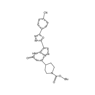 CC(C)(C)OC(=O)N1CCC(c2cc(=O)[nH]c3c(-c4nnc(-c5ccc(C#N)cc5)o4)cnn23)CC1